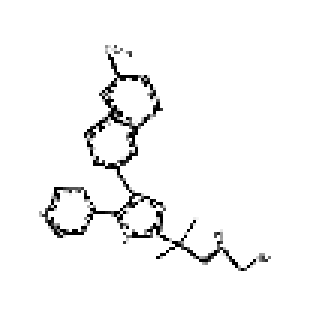 COc1ccc2cc(-c3nc(C(C)(C)CNCC(C)(C)C)[nH]c3-c3ccncc3)ccc2c1